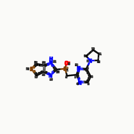 [O-][S+](Cc1nccc(N2CCCC2)n1)c1nc2cscc2[nH]1